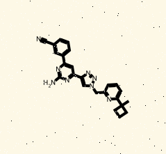 CC1(c2cccc(Cn3cc(-c4cc(-c5cccc(C#N)c5)nc(N)n4)nn3)n2)CCC1